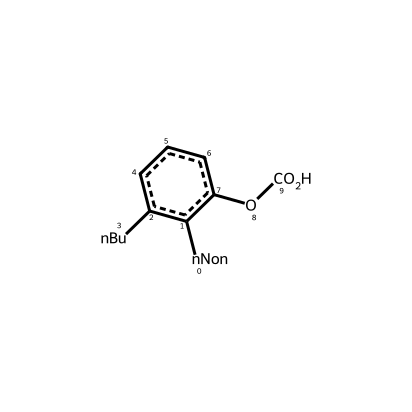 CCCCCCCCCc1c(CCCC)cccc1OC(=O)O